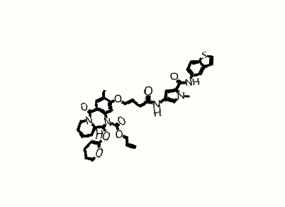 C=CCOC(=O)N1c2cc(OCCCC(=O)Nc3cc(C(=O)Nc4ccc5sccc5c4)n(C)c3)c(C)cc2C(=O)N2CCCC[C@H]2C1OC1CCCCO1